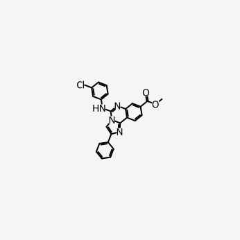 COC(=O)c1ccc2c(c1)nc(Nc1cccc(Cl)c1)n1cc(-c3ccccc3)nc21